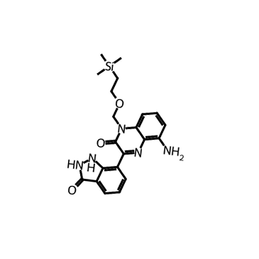 C[Si](C)(C)CCOCn1c(=O)c(-c2cccc3c(=O)[nH][nH]c23)nc2c(N)cccc21